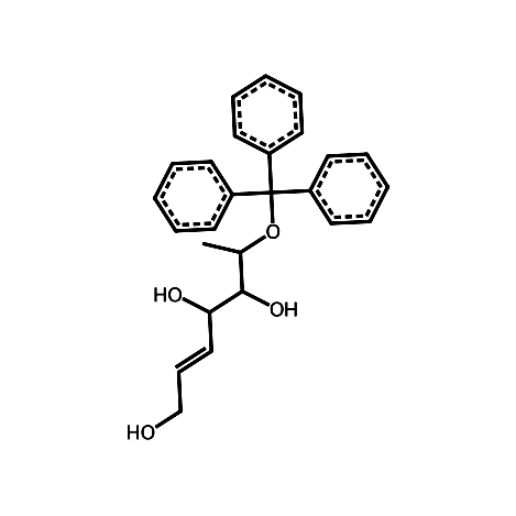 CC(OC(c1ccccc1)(c1ccccc1)c1ccccc1)C(O)C(O)/C=C/CO